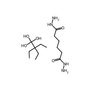 CCC(CC)(CC)C(O)(O)O.NNC(=O)CCCCC(=O)NN